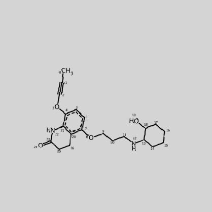 CC#COc1ccc(OCCCNC2CCCCC2O)c2c1NC(=O)CC2